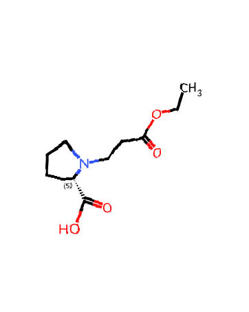 CCOC(=O)CCN1CCC[C@H]1C(=O)O